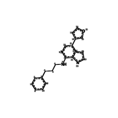 c1ccc(CCCNc2ncc(-c3ccoc3)n3ccnc23)cc1